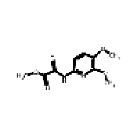 COC(=O)C(=O)Nc1ccc(OC)c(OC)n1